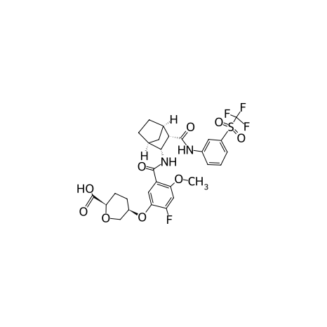 COc1cc(F)c(O[C@@H]2CC[C@H](C(=O)O)OC2)cc1C(=O)N[C@@H]1[C@H]2CC[C@H](C2)[C@@H]1C(=O)Nc1cccc(S(=O)(=O)C(F)(F)F)c1